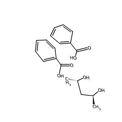 C[C@H](O)C[C@H](C)O.O=C(O)c1ccccc1.O=C(O)c1ccccc1